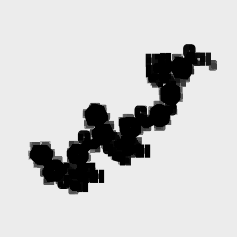 CC(=O)c1cccc(-c2n[nH]c3ncnc(Nc4ccc(Oc5ccc(CC(=O)c6cccc(-c7n[nH]c8ncnc(Nc9cc(-c%10ccccc%10)cc(CC(=O)c%10cccc(-c%11n[nH]c%12ncnc(Nc%13cc(-c%14ccccc%14)ccc%13O)c%11%12)c%10)c9C)c78)c6)cc5)cc4)c23)c1